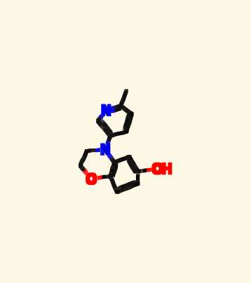 Cc1ccc(N2CCOc3ccc(O)cc32)cn1